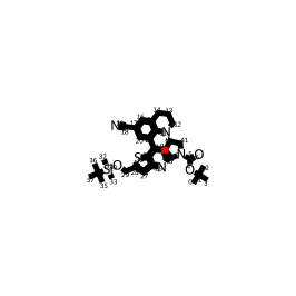 CC(C)(C)OC(=O)N1CC[C@H](N2CCCc3cc(C#N)cc(-c4ccnc5cc(CO[Si](C)(C)C(C)(C)C)sc45)c32)C1